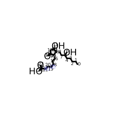 CCCCCC(O)CC[C@H]1[C@H](O)CC(=O)[C@@H]1CC/C=C\C=C\C(=O)O